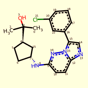 CC(C)(O)[C@@H]1CC[C@@H](Nc2ccc3ncc(-c4cccc(Cl)c4)n3n2)C1